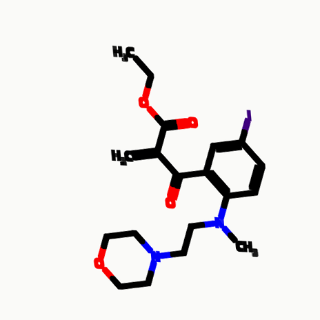 C=C(C(=O)OCC)C(=O)c1cc(I)ccc1N(C)CCN1CCOCC1